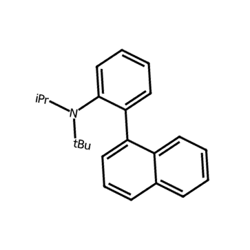 CC(C)N(c1ccccc1-c1cccc2ccccc12)C(C)(C)C